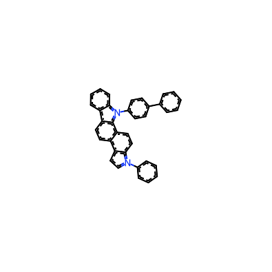 c1ccc(-c2ccc(-n3c4ccccc4c4ccc5c6ccn(-c7ccccc7)c6ccc5c43)cc2)cc1